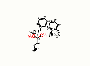 CC(C)CCC(O)O.O=C(O)c1ccccc1.O=C(O)c1ccccc1